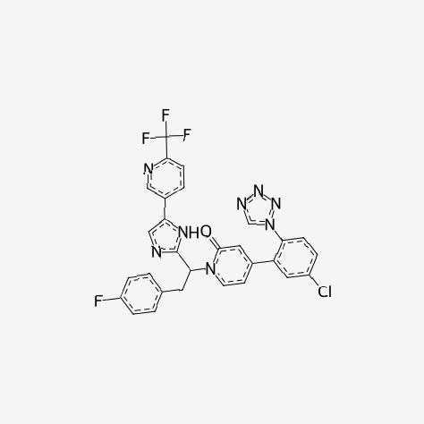 O=c1cc(-c2cc(Cl)ccc2-n2cnnn2)ccn1C(Cc1ccc(F)cc1)c1ncc(-c2ccc(C(F)(F)F)nc2)[nH]1